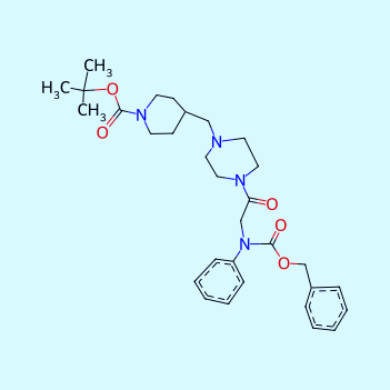 CC(C)(C)OC(=O)N1CCC(CN2CCN(C(=O)CN(C(=O)OCc3ccccc3)c3ccccc3)CC2)CC1